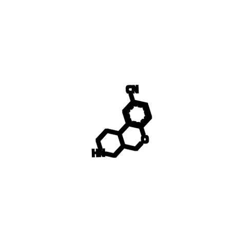 N#Cc1ccc2c(c1)C1CCNCC1CO2